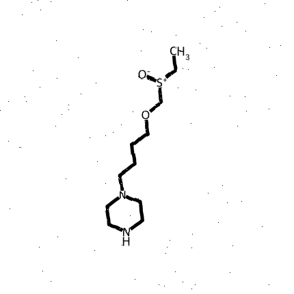 CC[S+]([O-])COCCCCN1CCNCC1